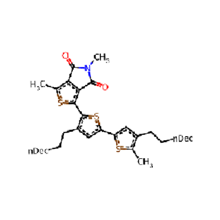 CCCCCCCCCCCCc1cc(-c2cc(CCCCCCCCCCCC)c(-c3sc(C)c4c3C(=O)N(C)C4=O)s2)sc1C